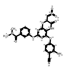 CN(C)C(=O)c1cccc(Oc2nc(Oc3ccc(C#N)c(N)c3)c3c(n2)OC(C=S(=O)=O)C(=O)N3)c1